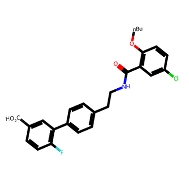 CCCCOc1ccc(Cl)cc1C(=O)NCCc1ccc(-c2cc(C(=O)O)ccc2F)cc1